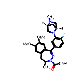 CNC(=O)N1N=C(c2ccc(F)c(N3C[C@@H]4C[C@H]3CN4C)c2)c2cc(OC)c(OC)cc2CC1C